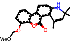 COCOc1cccc2c1oc(=O)c1c3c(ccc12)NC(C)(C)C=C3C